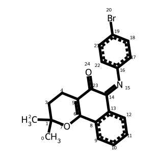 CC1(C)CCC2=C(O1)c1ccccc1C(=Nc1ccc(Br)cc1)C2=O